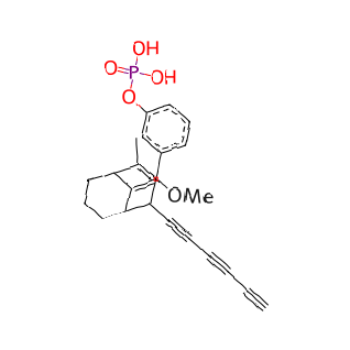 C#CC#CC#CC1C=C(C)C2CCCC1/C2=C(\OC)c1cccc(OP(=O)(O)O)c1